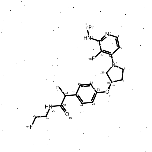 CCCNc1nccc(N2CC[C@@H](Oc3ccc(C(C)C(=O)NCCF)cc3)C2)c1F